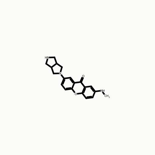 CNc1ccc2oc3ccc(N4CC5CNCC5C4)cc3c(=O)c2c1